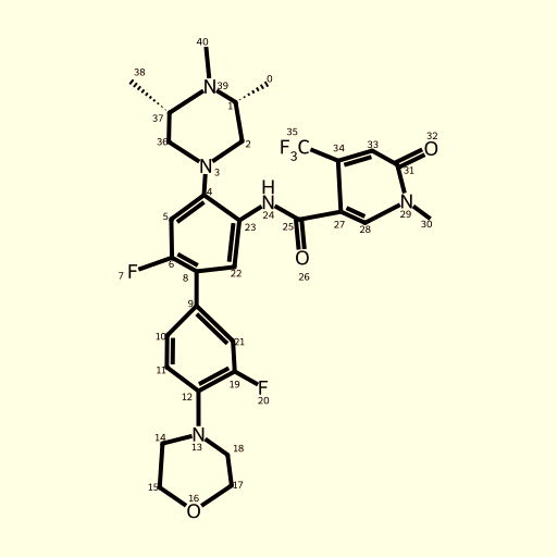 C[C@@H]1CN(c2cc(F)c(-c3ccc(N4CCOCC4)c(F)c3)cc2NC(=O)c2cn(C)c(=O)cc2C(F)(F)F)C[C@H](C)N1C